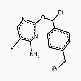 CCC(Oc1ncc(F)c(N)n1)c1ccc(CC(C)C)cc1